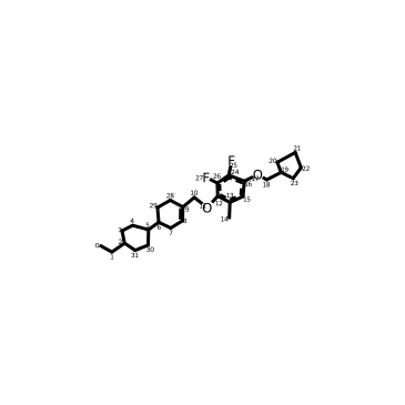 CCC1CCC(C2CC=C(COc3c(C)cc(OCC4CCCC4)c(F)c3F)CC2)CC1